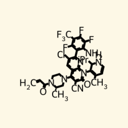 C=CC(=O)N1CCN(c2c(C#N)c(=O)n(C3=C(C)C=CNC3C(C)C)c3nc(-c4c(N)c(F)c(F)c(C(F)(F)F)c4F)c(Cl)cc23)C[C@H]1C